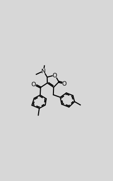 Cc1ccc(CC2=C(C(=O)c3ccc(C)cc3)C(N(C)C)OC2=O)cc1